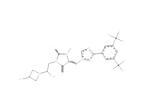 CN1C(=O)N(CC(O)N2CC(O)C2)C(=O)/C1=C/n1cnc(-c2cc(C(F)(F)F)cc(C(F)(F)F)c2)n1